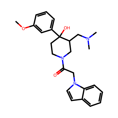 COc1cccc(C2(O)CCN(C(=O)Cn3ccc4ccccc43)CC2CN(C)C)c1